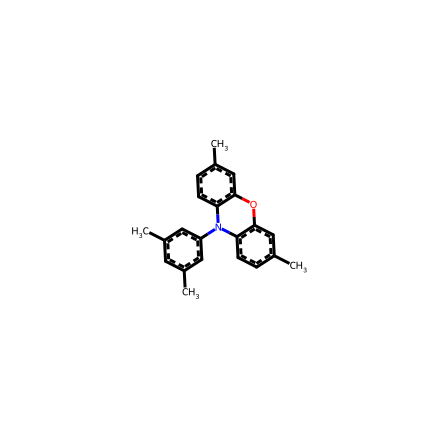 Cc1cc(C)cc(N2c3ccc(C)cc3Oc3cc(C)ccc32)c1